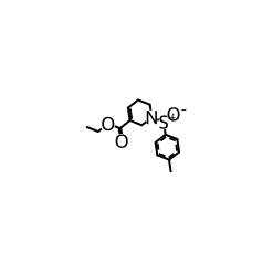 CCOC(=O)C1=CCCN([S+]([O-])c2ccc(C)cc2)C1